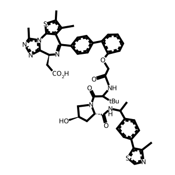 Cc1ncsc1-c1ccc(C(C)NC(=O)[C@@H]2C[C@@H](O)CN2C(=O)C(NC(=O)COc2ccccc2-c2ccc(C3=N[C@@H](CC(=O)O)c4nnc(C)n4-c4sc(C)c(C)c43)cc2)C(C)(C)C)cc1